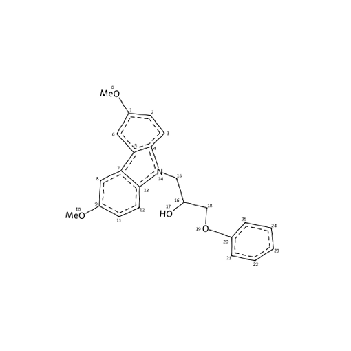 COc1ccc2c(c1)c1cc(OC)ccc1n2CC(O)COc1ccccc1